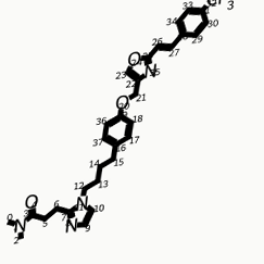 CN(C)C(=O)CCc1nccn1CCCCc1ccc(OCc2coc(C=Cc3ccc(C(F)(F)F)cc3)n2)cc1